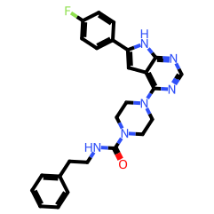 O=C(NCCc1ccccc1)N1CCN(c2ncnc3[nH]c(-c4ccc(F)cc4)cc23)CC1